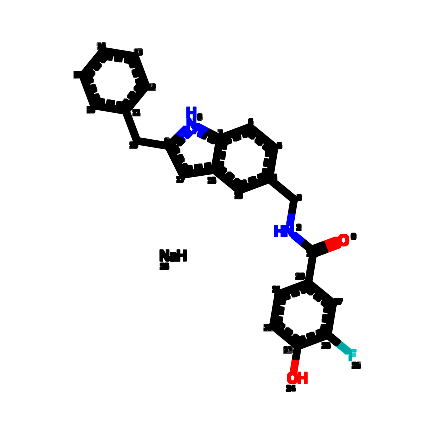 O=C(NCc1ccc2[nH]c(Cc3ccccc3)cc2c1)c1ccc(O)c(F)c1.[NaH]